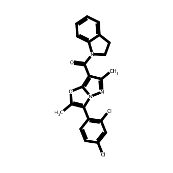 Cc1nn2c(-c3ccc(Cl)cc3Cl)c(C)oc2c1C(=O)N1CCc2ccccc21